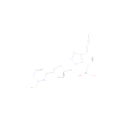 CC#Cc1ccc(C(=O)O)c2c1cnn2C(C)c1ccc(-c2ccnc(OC)n2)cc1